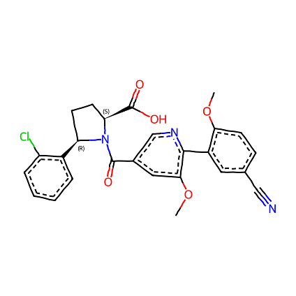 COc1ccc(C#N)cc1-c1ncc(C(=O)N2[C@@H](c3ccccc3Cl)CC[C@H]2C(=O)O)cc1OC